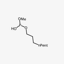 CCCCCCCCOP(O)OC